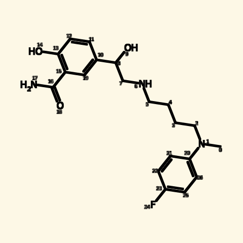 CN(CCCCNCC(O)c1ccc(O)c(C(N)=O)c1)c1ccc(F)cc1